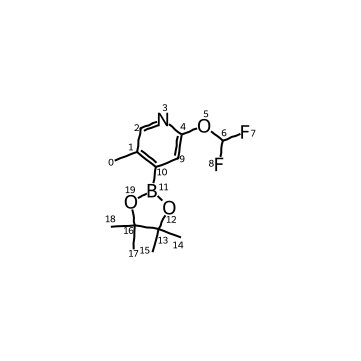 Cc1cnc(OC(F)F)cc1B1OC(C)(C)C(C)(C)O1